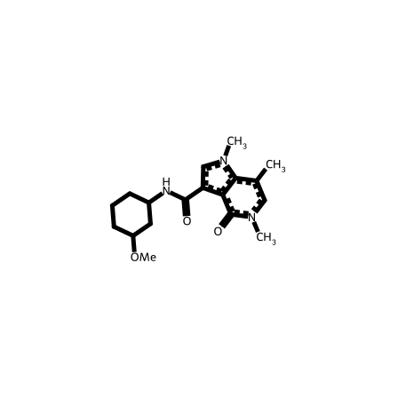 COC1CCCC(NC(=O)c2cn(C)c3c(C)cn(C)c(=O)c23)C1